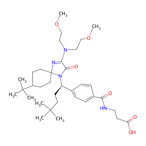 COCCN(CCOC)C1=NC2(CCC(C(C)(C)C)CC2)N([C@H](CCC(C)(C)C)c2ccc(C(=O)NCCC(=O)O)cc2)C1=O